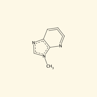 Cn1cnc2c1N=C=C=C2